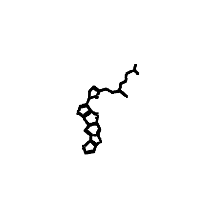 CC(C)CCCC(C)CCC1=CCC(c2csc3c2sc2cc4sc5ccsc5c4cc23)S1